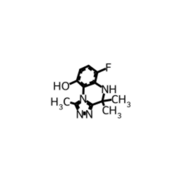 Cc1nnc2n1-c1c(O)ccc(F)c1NC2(C)C